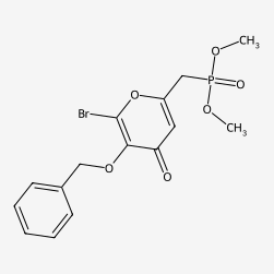 COP(=O)(Cc1cc(=O)c(OCc2ccccc2)c(Br)o1)OC